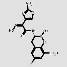 Nc1nc(/C(=N/O)C(=O)N[C@H]2Cc3cc(F)cc(C(=O)O)c3OB2O)cs1